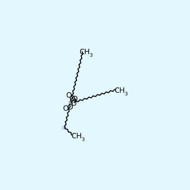 CCCCC/C=C\CCCCCCCC(=O)OC[C@H](COC(=O)CCCCCCCCCCCCCCCCCCCC)OC(=O)CCCCCCCCCCCCCCCCCCC